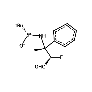 CC(C)(C)[S@@+]([O-])N[C@](C)(c1ccccc1)[C@@H](F)C=O